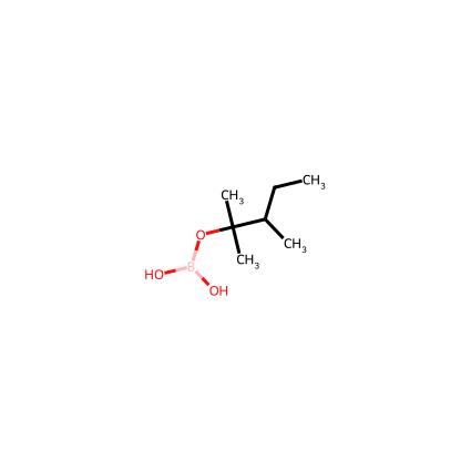 CCC(C)C(C)(C)OB(O)O